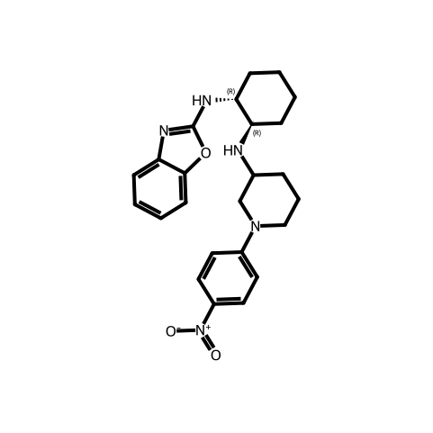 O=[N+]([O-])c1ccc(N2CCCC(N[C@@H]3CCCC[C@H]3Nc3nc4ccccc4o3)C2)cc1